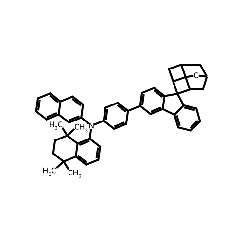 CC1(C)CCC(C)(C)c2c(N(c3ccc(-c4ccc5c(c4)-c4ccccc4C54C5CC6CC7CC4C75C6)cc3)c3ccc4ccccc4c3)cccc21